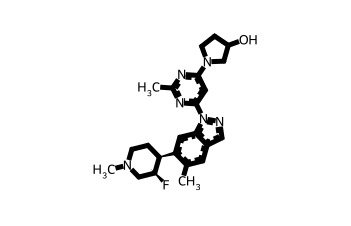 Cc1nc(N2CCC(O)C2)cc(-n2ncc3cc(C)c([C@@H]4CCN(C)C[C@@H]4F)cc32)n1